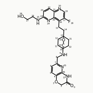 O=C1COc2ccc(CNC34CCC(CCc5c(F)cnc6ccc(NCCO)nc56)(CC3)OC4)nc2N1